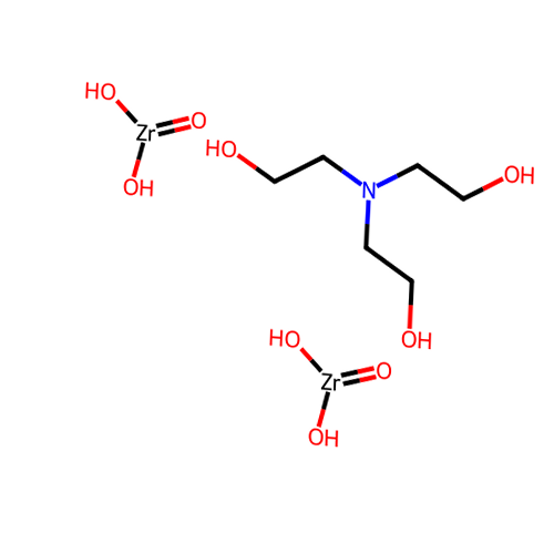 OCCN(CCO)CCO.[O]=[Zr]([OH])[OH].[O]=[Zr]([OH])[OH]